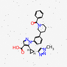 Cn1cc([C@@H]2C[C@H]2c2c(C(=O)O)cnn2-c2cccc(C3CCCN(C(=O)c4ccccc4)C3)c2)nn1